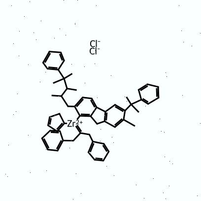 Cc1cc2c(cc1C(C)(C)c1ccccc1)-c1ccc(CC(C)C(C)C(C)(C)c3ccccc3)[c]([Zr+2]([C]3=CC=CC3)=[C](Cc3ccccc3)Cc3ccccc3)c1C2.[Cl-].[Cl-]